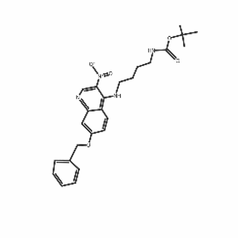 CC(C)(C)OC(=O)NCCCCNc1c([N+](=O)[O-])cnc2cc(OCc3ccccc3)ccc12